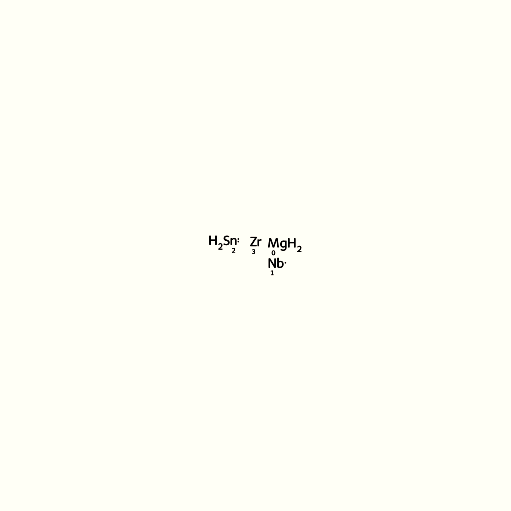 [MgH2].[Nb].[SnH2].[Zr]